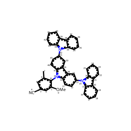 COc1cc(C#N)cc(C)c1-n1c2ccc(-n3c4ccccc4c4ccccc43)cc2c2cc(-n3c4ccccc4c4ccccc43)ccc21